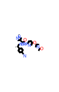 CC(=O)N1CC(Oc2ccc(NC(=O)C(NC[C@@H](C)c3ccc(C#N)cc3)c3cnn(C)c3)nc2)C1